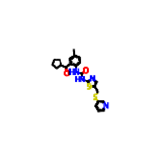 Cc1ccc(NC(=O)Nc2ncc(CSc3cccnc3)s2)c(C(=O)C2CCCC2)c1